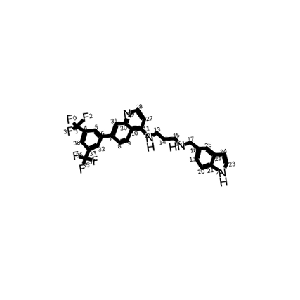 FC(F)(F)c1cc(-c2ccc3c(NCCCNCc4ccc5[nH]ccc5c4)ccnc3c2)cc(C(F)(F)F)c1